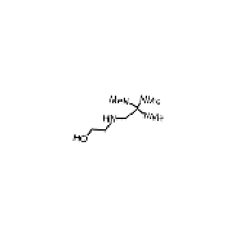 CNC(CNCCO)(NC)NC